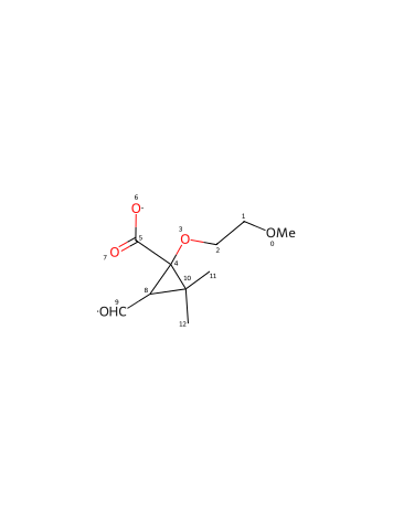 COCCOC1(C([O])=O)C([C]=O)C1(C)C